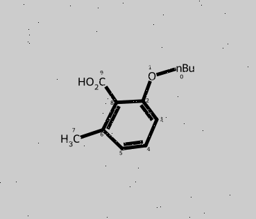 CCCCOc1cccc(C)c1C(=O)O